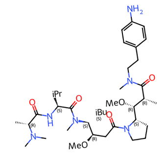 CC[C@H](C)[C@@H]([C@@H](CC(=O)N1CCC[C@H]1[C@H](OC)[C@@H](C)C(=O)N(C)CCc1ccc(N)cc1)OC)N(C)C(=O)[C@@H](NC(=O)[C@@H](C)N(C)C)C(C)C